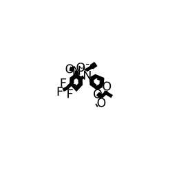 C#CCN(c1ccc(OC(C)C(=O)OC)cc1)c1ccc(C(F)(F)F)cc1[N+](=O)[O-]